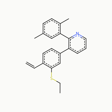 C=Cc1ccc(-c2cccnc2-c2cc(C)ccc2C)cc1SCC